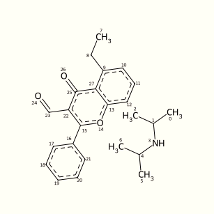 CC(C)NC(C)C.CCc1cccc2oc(-c3ccccc3)c(C=O)c(=O)c12